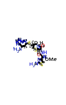 CON=C(C(=O)NC1C(=O)N2CC(CSc3cc(N)c4nnnn4n3)(C(=O)O)CS[C@H]12)c1csc(N)n1